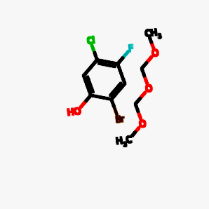 COCOCOC.Oc1cc(Cl)c(F)cc1Br